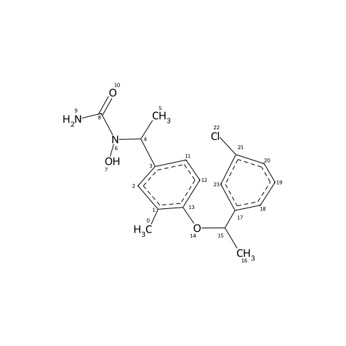 Cc1cc(C(C)N(O)C(N)=O)ccc1OC(C)c1cccc(Cl)c1